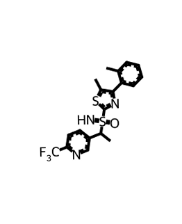 Cc1ccccc1-c1nc(S(=N)(=O)C(C)c2ccc(C(F)(F)F)nc2)sc1C